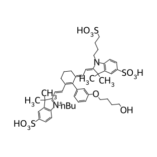 CCCC[N+]1=C(/C=C/C2=C(c3cccc(OCCCCO)c3)C(=C/C=C3/N(CCCCS(=O)(=O)O)c4ccc(S(=O)(=O)O)cc4C3(C)C)/CCC2)C(C)(C)c2cc(S(=O)(=O)O)ccc21